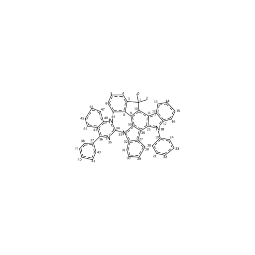 CC1(C)c2ccccc2-c2c1c1c3ccccc3n(-c3ccccc3)c1c1c3ccccc3n(-c3nc(-c4ccccc4)c4ccccc4n3)c21